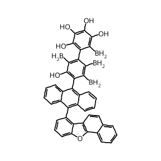 Bc1c(B)c(-c2c3ccccc3c(-c3cccc4oc5c6ccccc6ccc5c34)c3ccccc23)c(O)c(B)c1-c1c(B)c(O)c(O)c(O)c1O